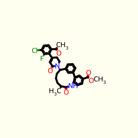 COC(=O)c1ccc2c(c1)-c1cccc(c1)C(N1CCC(c3c(C(C)=O)ccc(Cl)c3F)=CC1=O)CCCC(C)C(=O)N2